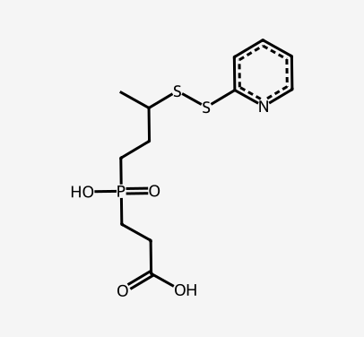 CC(CCP(=O)(O)CCC(=O)O)SSc1ccccn1